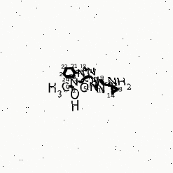 CC(O)n1c(=O)c2c(-n3cc(C4(N)CC4)nn3)ncn2c2ccccc21